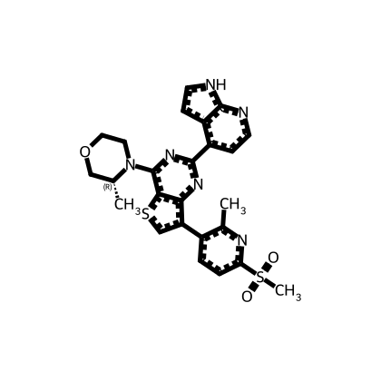 Cc1nc(S(C)(=O)=O)ccc1-c1csc2c(N3CCOC[C@H]3C)nc(-c3ccnc4[nH]ccc34)nc12